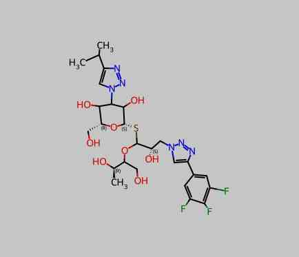 CC(C)c1cn(C2C(O)[C@@H](CO)O[C@@H](SC(OC(CO)[C@@H](C)O)[C@@H](O)Cn3cc(-c4cc(F)c(F)c(F)c4)nn3)C2O)nn1